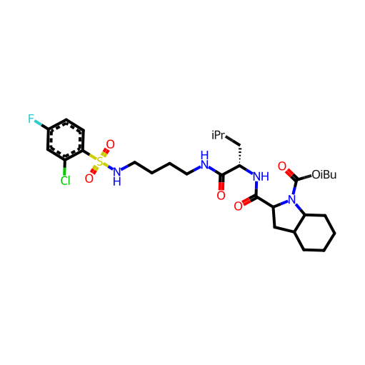 CC(C)COC(=O)N1C(C(=O)N[C@@H](CC(C)C)C(=O)NCCCCNS(=O)(=O)c2ccc(F)cc2Cl)CC2CCCCC21